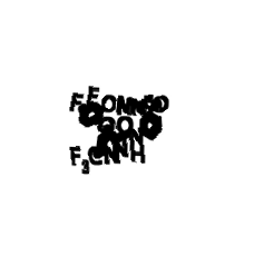 COc1c(Oc2cc(C(F)(F)F)nnc2C(=O)Nc2cccc(S(C)(=N)=O)c2)ccc(F)c1F